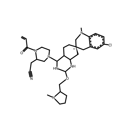 C=CC(=O)N1CCN(C2NC(OCC3CCCN3C)NC3C[C@]4(CCC32)Cc2cc(Cl)ccc2N(C)C4)CC1CC#N